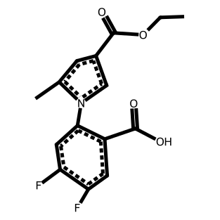 CCOC(=O)c1cc(C)n(-c2cc(F)c(F)cc2C(=O)O)c1